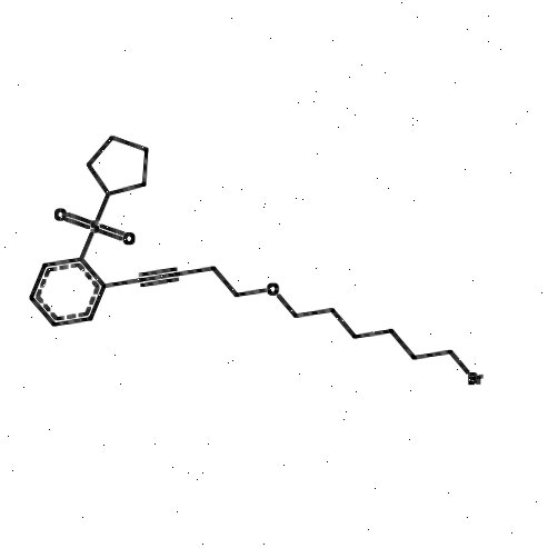 O=S(=O)(c1ccccc1C#CCCOCCCCCCBr)C1CCCC1